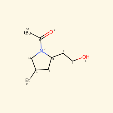 CCC1CC(CCO)N(C(=O)C(C)(C)C)C1